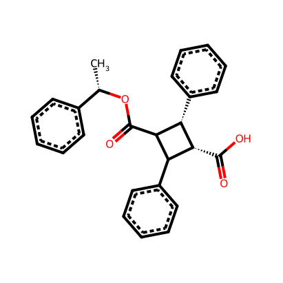 C[C@H](OC(=O)C1C(c2ccccc2)[C@@H](C(=O)O)[C@H]1c1ccccc1)c1ccccc1